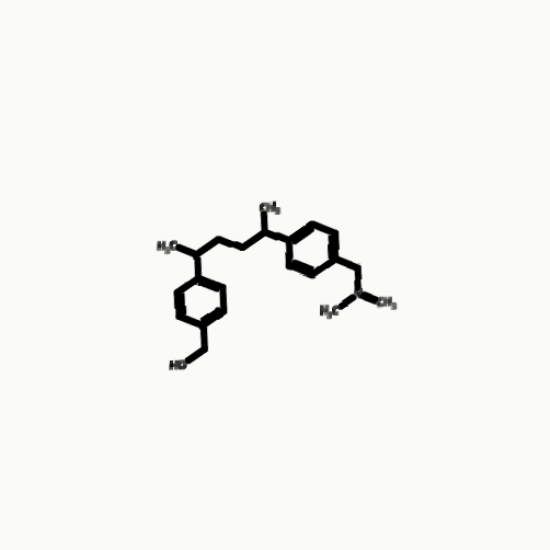 CC(CCC(C)c1ccc(CN(C)C)cc1)c1ccc(CO)cc1